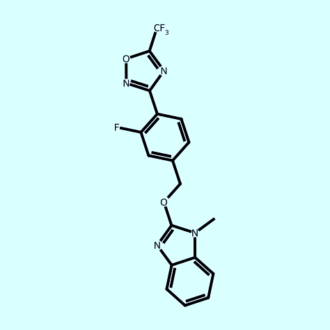 Cn1c(OCc2ccc(-c3noc(C(F)(F)F)n3)c(F)c2)nc2ccccc21